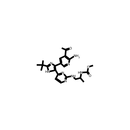 COC(=O)NC(C)CNc1nccc(-c2[nH]c(C(C)(C)C)nc2-c2cnc(N)c(C(C)=O)c2)n1